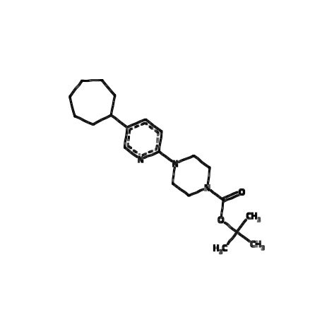 CC(C)(C)OC(=O)N1CCN(c2ccc(C3CCCCCC3)cn2)CC1